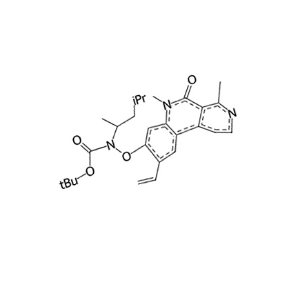 C=Cc1cc2c3ccnc(C)c3c(=O)n(C)c2cc1ON(C(=O)OC(C)(C)C)C(C)CC(C)C